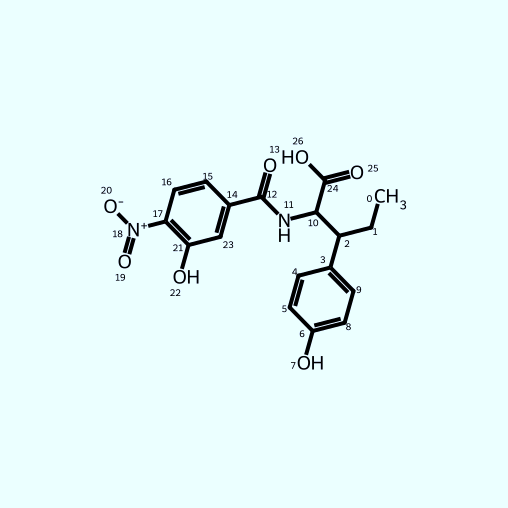 CCC(c1ccc(O)cc1)C(NC(=O)c1ccc([N+](=O)[O-])c(O)c1)C(=O)O